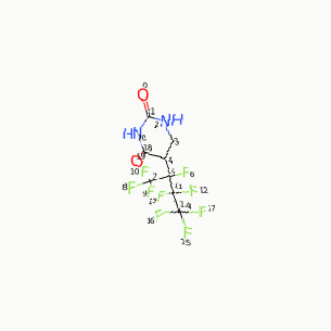 O=C1NCC(C(F)(C(F)(F)F)C(F)(F)C(F)(F)F)C(=O)N1